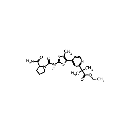 CCOC(=O)C(C)(C)c1cc(-c2sc(NC(=O)N3CCC[C@H]3C(N)=O)nc2C)ccn1